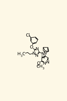 CCCn1nc(NC2C3=CC2CN3c2cnnc(OC)c2)nc1Oc1cccc(Cl)c1